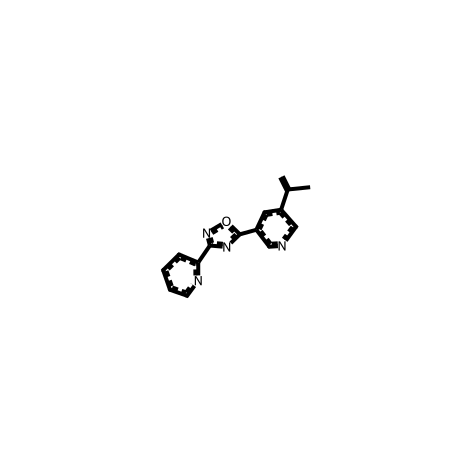 C=C(C)c1cncc(-c2nc(-c3ccccn3)no2)c1